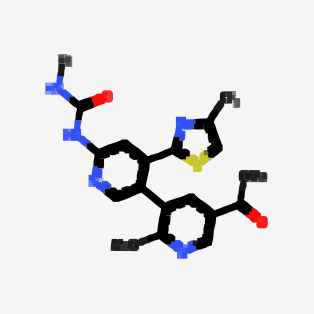 CCNC(=O)Nc1cc(-c2nc(C(F)(F)F)cs2)c(-c2cc(C(=O)OC)cnc2OC)cn1